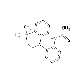 CC1(C)CCN(c2ccccc2NC(N)=S)c2ccccc21